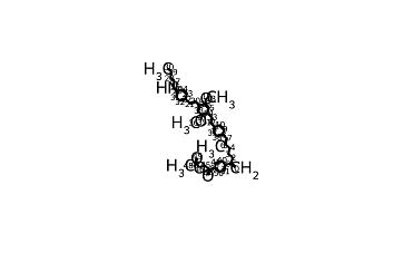 C=C(CCC/C(C)=C/c1ccc(/C=C/c2cc(OC)c(/C=C/c3ccc(NCCCC)cc3)cc2OC)cc1)c1ccc(C(=O)COC(C)=O)cc1